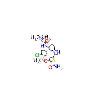 C[C@@H](Oc1cc(-c2cnc3ccc(NC(=O)CN(C)C)cn23)sc1C(N)=O)c1ccccc1Cl